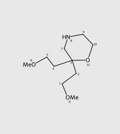 COCCC1(CCOC)CNCCO1